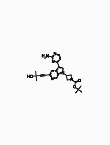 CC(C)(O)C#Cc1cc2c(-c3ccnc(N)n3)cn(C3CN(C(=O)OC(C)(C)C)C3)c2cn1